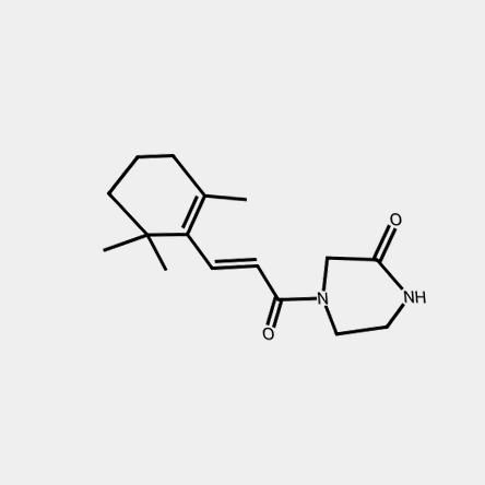 CC1=C(/C=C/C(=O)N2CCNC(=O)C2)C(C)(C)CCC1